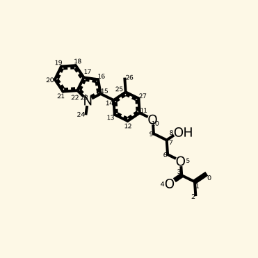 C=C(C)C(=O)OCC(O)COc1ccc(-c2cc3ccccc3n2C)c(C)c1